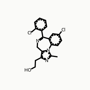 Cc1nc(CCO)c2n1-c1ccc(Cl)cc1C(c1ccccc1Cl)=NC2